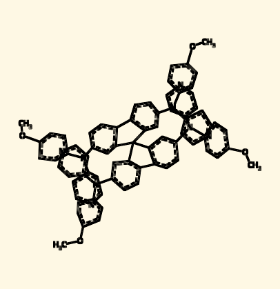 COc1ccc(N(c2ccncc2)c2ccc3c(c2)C2(c4cc(N(c5ccncc5)c5ccc(OC)cc5)ccc4-3)c3cc(N(c4ccncc4)c4ccc(OC)cc4)ccc3-c3ccc(N(c4ccncc4)c4ccc(OC)cc4)cc32)cc1